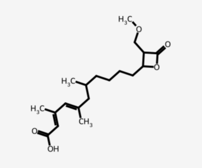 COCC1C(=O)OC1CCCCC(C)CC(C)=CC(C)=CC(=O)O